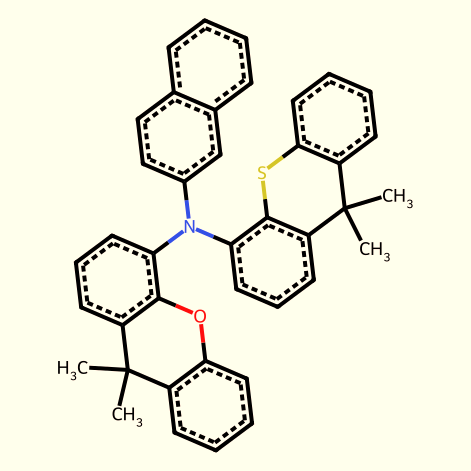 CC1(C)c2ccccc2Oc2c(N(c3ccc4ccccc4c3)c3cccc4c3Sc3ccccc3C4(C)C)cccc21